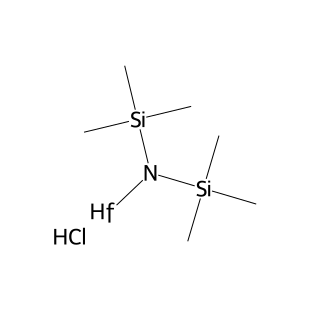 C[Si](C)(C)[N]([Hf])[Si](C)(C)C.Cl